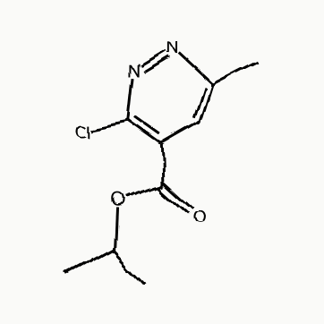 Cc1cc(C(=O)OC(C)C)c(Cl)nn1